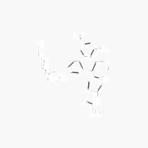 CC(C)(C)C(=O)Oc1ccc2c(c1)SCCC(c1ccc(Cl)cc1Cl)=C2c1cccc(O[C@@H]2CCN(CCCF)C2)c1